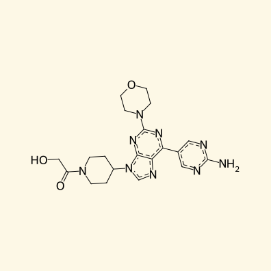 Nc1ncc(-c2nc(N3CCOCC3)nc3c2ncn3C2CCN(C(=O)CO)CC2)cn1